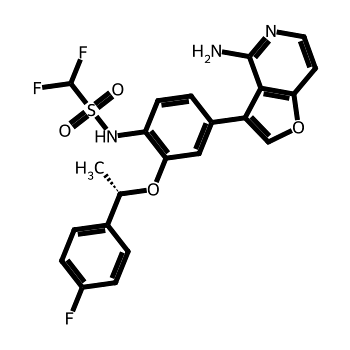 C[C@H](Oc1cc(-c2coc3ccnc(N)c23)ccc1NS(=O)(=O)C(F)F)c1ccc(F)cc1